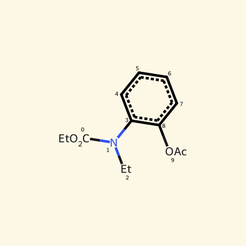 CCOC(=O)N(CC)c1ccccc1OC(C)=O